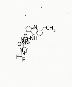 CCC1CCc2c1nc1c(c2NC(=O)N=[S@](N)(=O)c2ccn(C(F)F)n2)CCC1